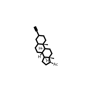 C#CC1CC[C@@]2(C)C(CC[C@H]3[C@@H]4CC[C@H](C(C)=O)[C@@]4(C)CC[C@@H]32)C1